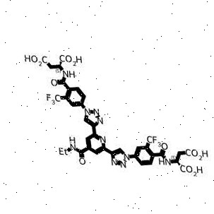 CCNC(=O)c1cc(-c2cn(-c3ccc(C(=O)N[C@@H](CC(=O)O)C(=O)O)c(C(F)(F)F)c3)nn2)nc(-c2cn(-c3ccc(C(=O)N[C@@H](CC(=O)O)C(=O)O)c(C(F)(F)F)c3)nn2)c1